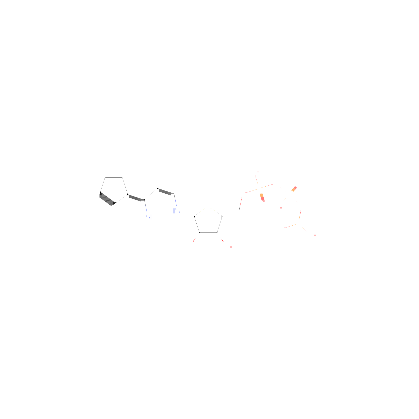 NC(/C=C\N[C@@H]1S[C@H](COP(=O)(O)OP(=O)(O)OP(O)O)[C@@H](O)[C@H]1O)=C1\C#CCC1